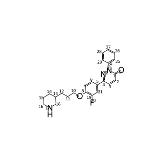 O=c1ccc(-c2ccc(OCCCC3CCCNC3)c(F)c2)nn1-c1ccccc1